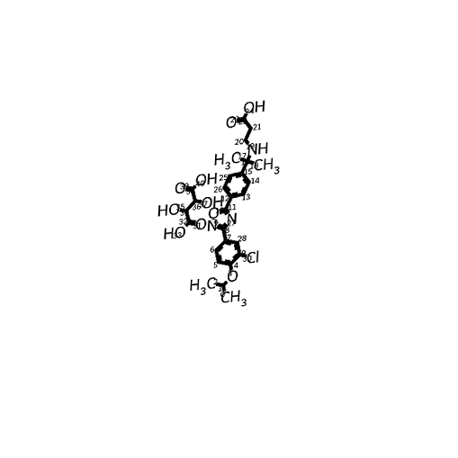 CC(C)Oc1ccc(-c2noc(-c3ccc(C(C)(C)NCCC(=O)O)cc3)n2)cc1Cl.O=C(O)C(O)C(O)C(=O)O